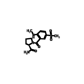 CNc1ccc(S(C)(=O)=O)cc1C(=O)N1CCC[C@@H]1C(N)=O